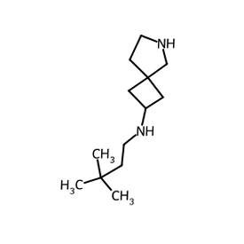 CC(C)(C)CCNC1CC2(CCNC2)C1